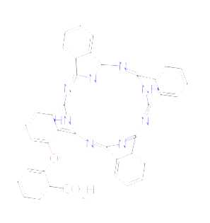 O=C(O)c1ccccc1Oc1cccc2c3nc4nc(nc5[nH]c(nc6nc(nc([nH]3)c12)-c1ccccc1-6)c1ccccc51)-c1ccccc1-4